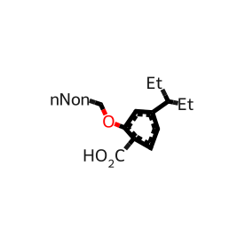 CCCCCCCCCCOc1cc(C(CC)CC)ccc1C(=O)O